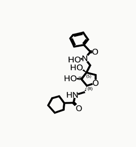 O=C(NC[C@H]1OC[C@@](O)(CN(O)C(=O)c2ccccc2)[C@@H]1O)C1CCCCC1